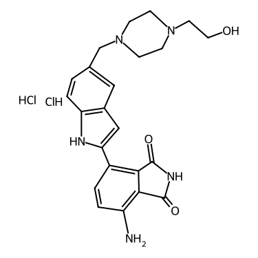 Cl.Cl.Nc1ccc(-c2cc3cc(CN4CCN(CCO)CC4)ccc3[nH]2)c2c1C(=O)NC2=O